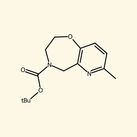 Cc1ccc2c(n1)CN(C(=O)OC(C)(C)C)CCO2